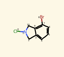 ClN1Cc2cccc(Br)c2C1